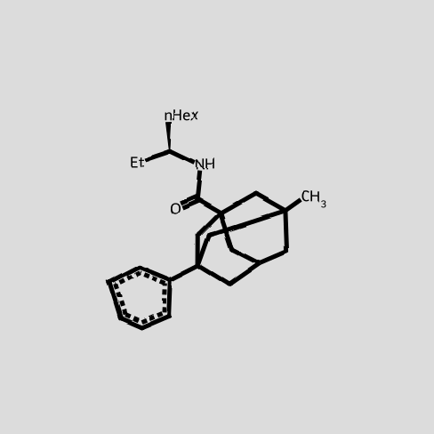 CCCCCC[C@H](CC)NC(=O)C12CC3CC(C)(C1)CC(c1ccccc1)(C3)C2